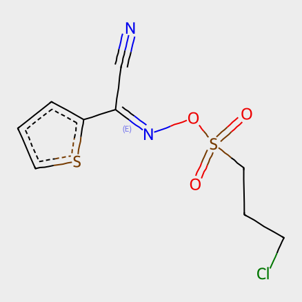 N#C/C(=N\OS(=O)(=O)CCCCl)c1cccs1